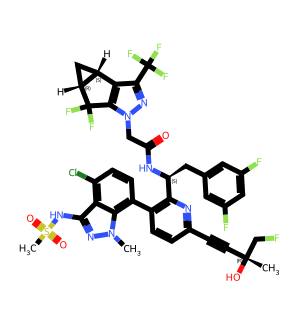 Cn1nc(NS(C)(=O)=O)c2c(Cl)ccc(-c3ccc(C#C[C@@](C)(O)CF)nc3[C@H](Cc3cc(F)cc(F)c3)NC(=O)Cn3nc(C(F)(F)F)c4c3C(F)(F)[C@@H]3C[C@H]43)c21